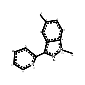 Cc1ccc2c(c1)c(-c1ccccn1)nn2C